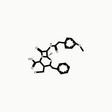 COc1ccc(CC(=O)NC2C(=O)N3C(C(=O)O)C(CCl)C(Cc4ccccc4)S[C@H]23)cc1